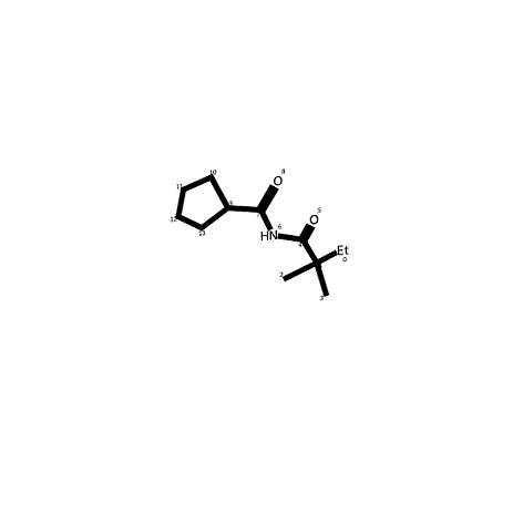 CCC(C)(C)C(=O)NC(=O)C1CCCC1